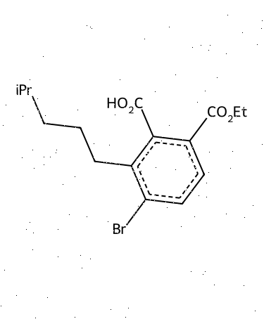 CCOC(=O)c1ccc(Br)c(CCCC(C)C)c1C(=O)O